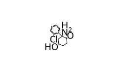 N[C@]1(c2ccccc2Cl)C[C@H](O)CCC1=O